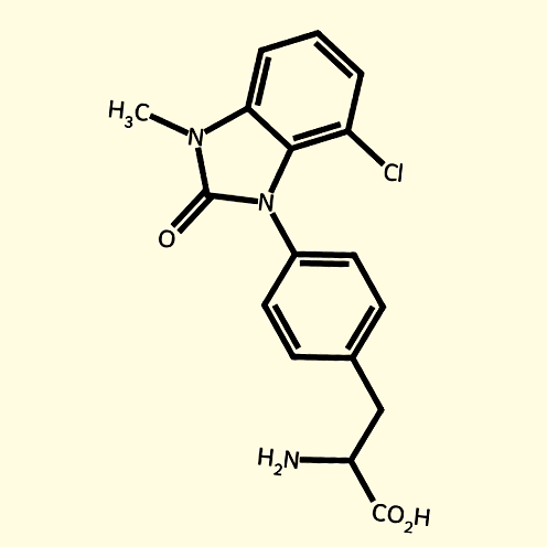 Cn1c(=O)n(-c2ccc(CC(N)C(=O)O)cc2)c2c(Cl)cccc21